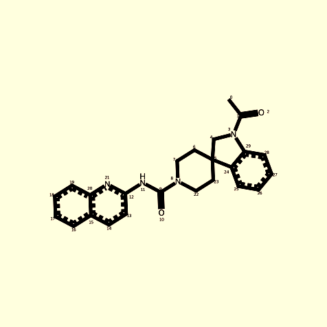 CC(=O)N1CC2(CCN(C(=O)Nc3ccc4ccccc4n3)CC2)c2ccccc21